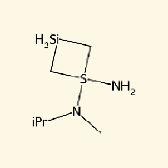 CC(C)N(C)S1(N)C[SiH2]C1